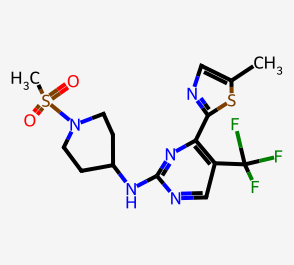 Cc1cnc(-c2nc(NC3CCN(S(C)(=O)=O)CC3)ncc2C(F)(F)F)s1